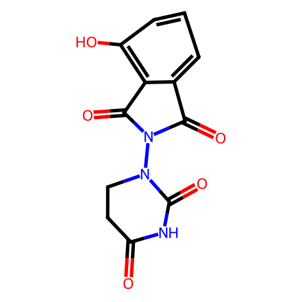 O=C1CCN(N2C(=O)c3cccc(O)c3C2=O)C(=O)N1